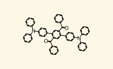 O=C(c1ccccc1)c1cc(-c2ccc(N(c3ccccc3)c3ccccc3)cc2)c(C(=O)c2ccccc2)cc1-c1ccc(N(c2ccccc2)c2ccccc2)cc1